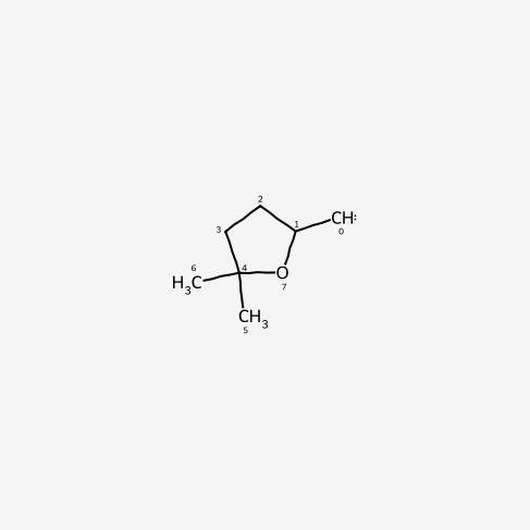 [CH]C1CCC(C)(C)O1